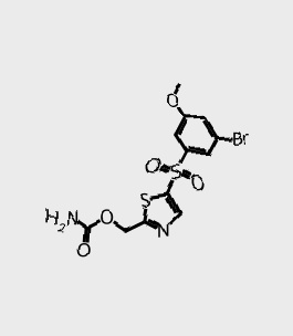 COc1cc(Br)cc(S(=O)(=O)c2cnc(COC(N)=O)s2)c1